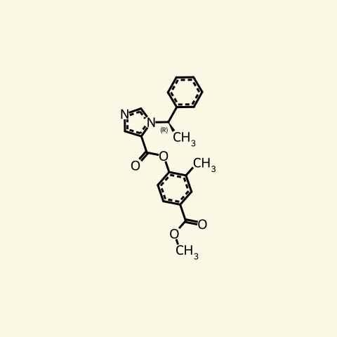 COC(=O)c1ccc(OC(=O)c2cncn2[C@H](C)c2ccccc2)c(C)c1